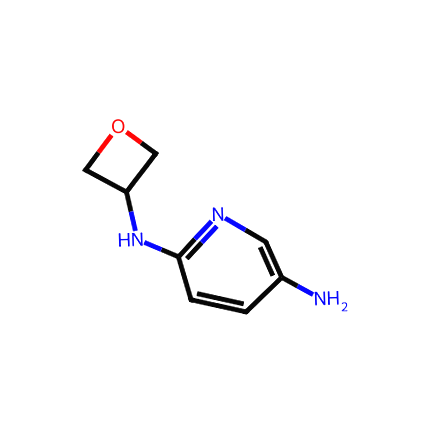 Nc1ccc(NC2COC2)nc1